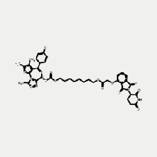 Cc1sc2c(c1C)C(C1C=CC(Cl)=CC1)=N[C@@H](OC(=O)OCCCCCCCCOC(=O)COc1cccc3c1C(=O)N(C1CCC(=O)NC1=O)C3=O)c1nnc(C)n1-2